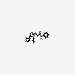 C=CCn1c(SCC(=O)Nc2ccccc2)nnc1-c1ccoc1